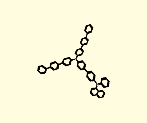 c1ccc(-c2ccc(-c3ccc(N(c4ccc(-c5ccc(-c6ccccc6)cc5)cc4)c4ccc(-c5ccc(N(c6ccccc6)c6cccc7ccccc67)cc5)cc4)cc3)cc2)cc1